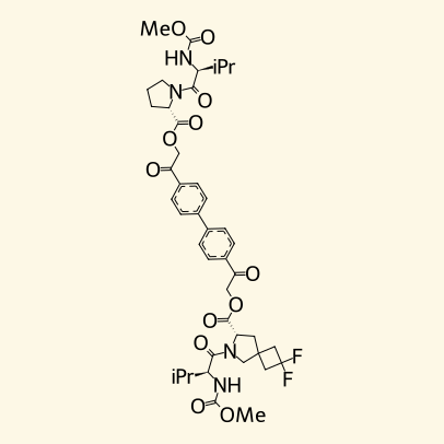 COC(=O)N[C@H](C(=O)N1CCC[C@H]1C(=O)OCC(=O)c1ccc(-c2ccc(C(=O)COC(=O)[C@@H]3CC4(CN3C(=O)[C@@H](NC(=O)OC)C(C)C)CC(F)(F)C4)cc2)cc1)C(C)C